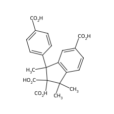 CC1(C)c2ccc(C(=O)O)cc2C(C)(c2ccc(C(=O)O)cc2)C1(C(=O)O)C(=O)O